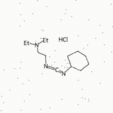 CCN(CC)CCN=C=NC1CCCCC1.Cl